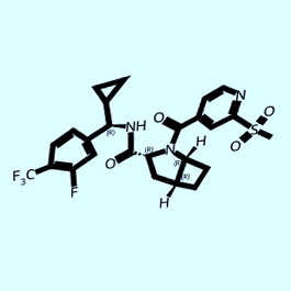 CS(=O)(=O)c1cc(C(=O)N2[C@@H](C(=O)N[C@@H](c3ccc(C(F)(F)F)c(F)c3)C3CC3)C[C@H]3CC[C@H]32)ccn1